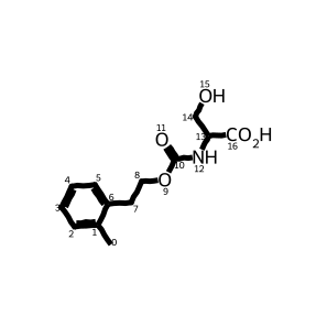 Cc1ccccc1CCOC(=O)NC(CO)C(=O)O